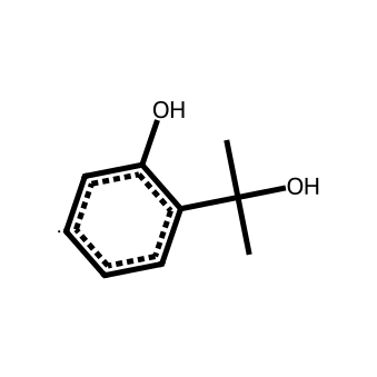 CC(C)(O)c1cc[c]cc1O